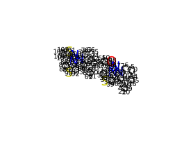 c1ccc2c(c1)ccc1c2c2c3c4ccccc4c4ccccc4c3ccc2n1-c1nc(-c2cccc3sc4ccccc4c23)c2c(n1)oc1ccc(-c3ccc4c(c3)c3ccccc3c3ccc5c(c34)c3c4ccccc4ccc3n5-c3nc(-c4cccc5sc6ccccc6c45)c4c(n3)sc3ccccc34)cc12